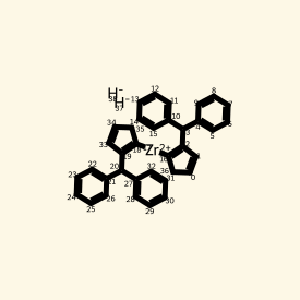 C1=CC(C(c2ccccc2)c2ccccc2)=[C]([Zr+2][C]2=C(C(c3ccccc3)c3ccccc3)C=CC2)C1.[H-].[H-]